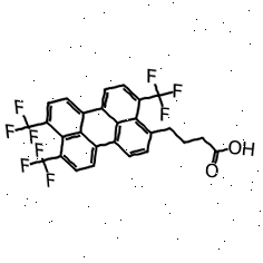 O=C(O)CCCc1ccc2c3ccc(C(F)(F)F)c4c(C(F)(F)F)ccc(c5ccc(C(F)(F)F)c1c25)c43